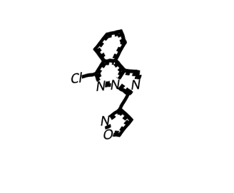 Clc1nn2c(-c3ccon3)ncc2c2ccccc12